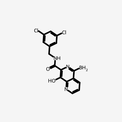 Bc1nc(C(=O)NCc2cc(Cl)cc(Cl)c2)c(O)c2ncccc12